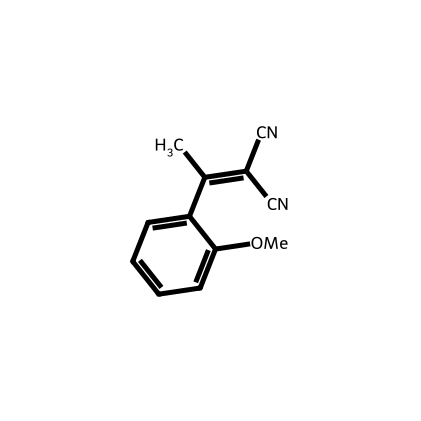 COc1ccccc1C(C)=C(C#N)C#N